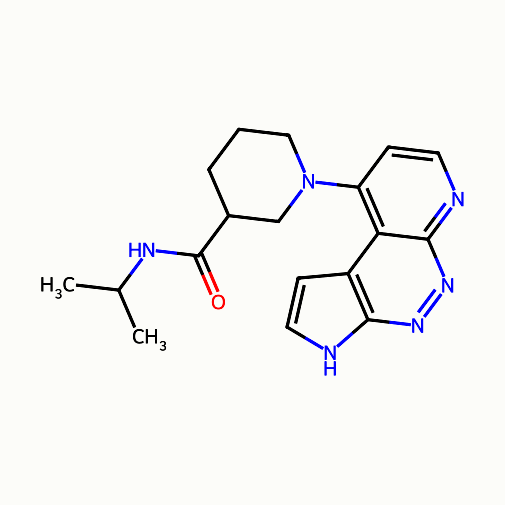 CC(C)NC(=O)C1CCCN(c2ccnc3nnc4[nH]ccc4c23)C1